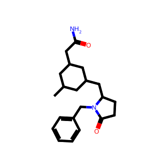 CC1CC(CC(N)=O)CC(CC2CCC(=O)N2Cc2ccccc2)C1